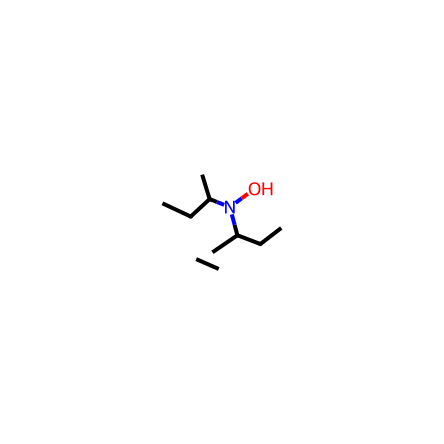 CC.CCC(C)N(O)C(C)CC